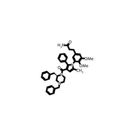 COc1cc(CCC(N)=O)cc(-n2c(C)cc(C(=O)N3CCN(Cc4ccccc4)C[C@H]3Cc3ccccc3)c2-c2ccccc2)c1OC